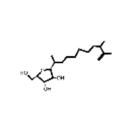 C=C(C)C(C)CCCCCCC(C)[C@@H]1O[C@H](CO)[C@@H](O)[C@@H]1O